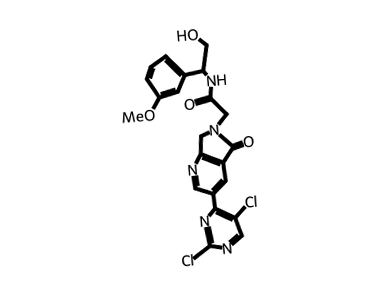 COc1cccc(C(CO)NC(=O)CN2Cc3ncc(-c4nc(Cl)ncc4Cl)cc3C2=O)c1